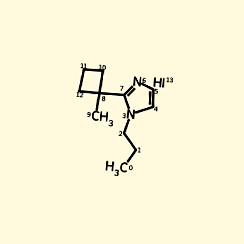 CCCn1ccnc1C1(C)CCC1.I